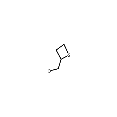 [O]CC1CCS1